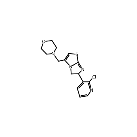 Clc1ncccc1C1CN2C(CN3CCOCC3)=CSC2=N1